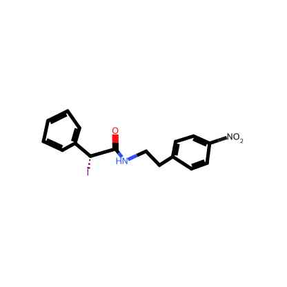 O=C(NCCc1ccc([N+](=O)[O-])cc1)[C@H](I)c1ccccc1